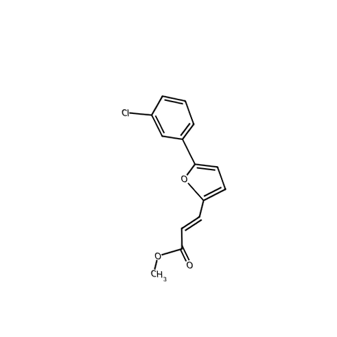 COC(=O)C=Cc1ccc(-c2cccc(Cl)c2)o1